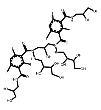 O=C(NCC(O)CO)c1c(I)cc(I)c(C(=O)N(CC(O)CN(NCC(O)C(O)CO)C(=O)c2c(I)cc(I)c(C(=O)NCC(O)CO)c2I)NCC(O)C(O)CO)c1I